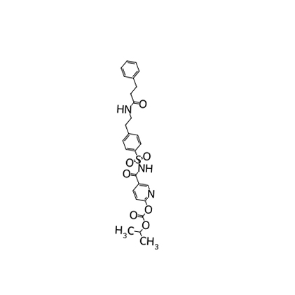 CC(C)OC(=O)Oc1ccc(C(=O)NS(=O)(=O)c2ccc(CCNC(=O)CCc3ccccc3)cc2)cn1